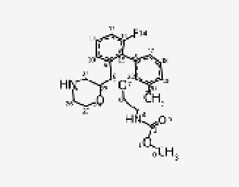 COC(=O)NCCO[C@@H](c1cccc(F)c1-c1cccc(C)c1)C1CNCCO1